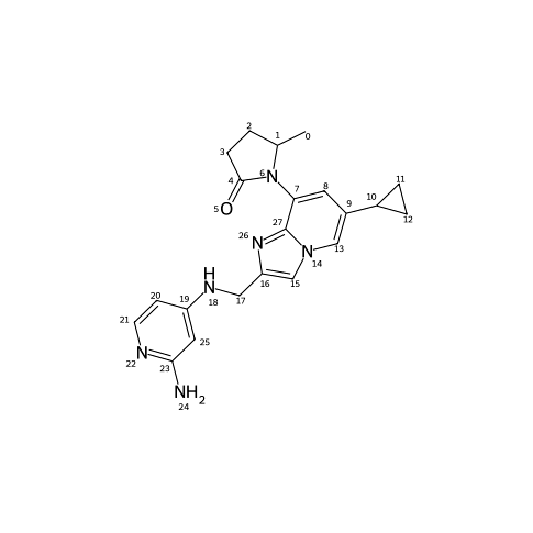 CC1CCC(=O)N1c1cc(C2CC2)cn2cc(CNc3ccnc(N)c3)nc12